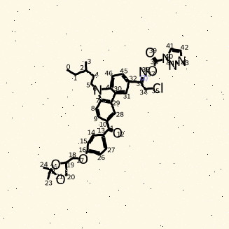 CCC(C)CCn1c2ccc(C(=O)c3ccc(OCC4COC(C)(C)O4)cc3)cc2c2cc(/C(CCl)=N/OC(=O)n3ccnn3)ccc21